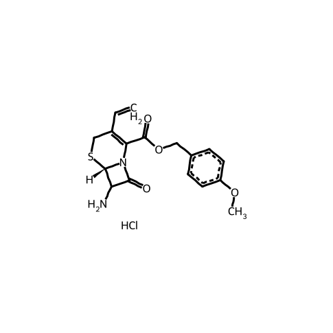 C=CC1=C(C(=O)OCc2ccc(OC)cc2)N2C(=O)C(N)[C@@H]2SC1.Cl